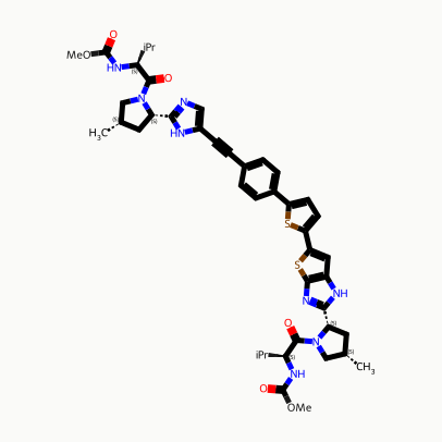 COC(=O)N[C@H](C(=O)N1C[C@@H](C)C[C@H]1c1ncc(C#Cc2ccc(-c3ccc(-c4cc5[nH]c([C@@H]6C[C@H](C)CN6C(=O)[C@@H](NC(=O)OC)C(C)C)nc5s4)s3)cc2)[nH]1)C(C)C